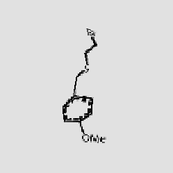 COc1ccc(CSCCBr)cc1